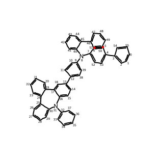 c1ccc(-c2ccc(N(c3ccc(-c4ccc5c(c4)-c4ccccc4-c4ccccc4N5c4ccccc4)cc3)c3ccccc3-c3ccccc3)cc2)cc1